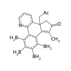 Bc1c(B)c(B)c2c(c1B)C1=C(C)C(=O)CC1(CC(C)=O)c1cccnc1-2